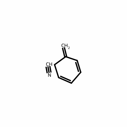 C#N.C=C1C=CC=CC1